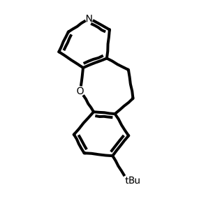 CC(C)(C)c1ccc2c(c1)CCc1cnccc1O2